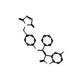 O=C1Nc2ccc([N+](=O)[O-])cc2C1=C(Nc1ccc(CN2C(=O)C=CC2=O)cc1)c1ccccc1